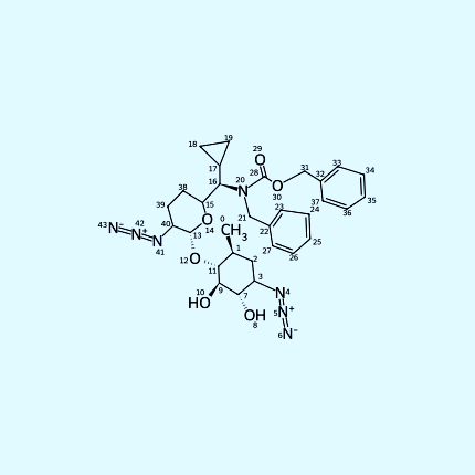 C[C@H]1CC(N=[N+]=[N-])[C@H](O)[C@@H](O)[C@@H]1O[C@H]1OC([C@@H](C2CC2)N(Cc2ccccc2)C(=O)OCc2ccccc2)CCC1N=[N+]=[N-]